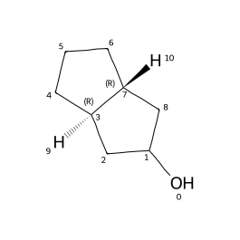 OC1C[C@H]2CCC[C@@H]2C1